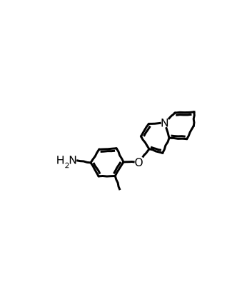 Cc1cc(N)ccc1OC1=CC2=CCC=CN2C=C1